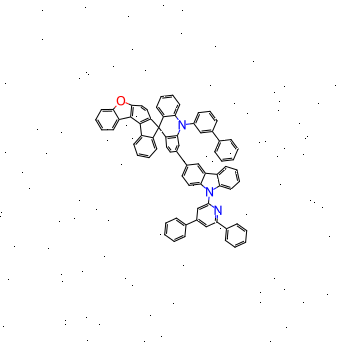 c1ccc(-c2cccc(N3c4ccccc4C4(c5ccccc5-c5c4ccc4oc6ccccc6c54)c4ccc(-c5ccc6c(c5)c5ccccc5n6-c5cc(-c6ccccc6)cc(-c6ccccc6)n5)cc43)c2)cc1